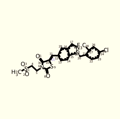 CS(=O)(=O)CCN1C(=O)S/C(=C\c2ccc3c(cnn3Cc3ccc(Cl)cc3C(F)(F)F)c2)C1=O